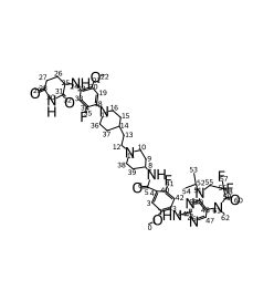 COc1cc(C(=O)NC2CCN(CCC3CCN(c4cc(OC)c(NC5CCC(=O)NC5=O)cc4F)CC3)CC2)c(F)cc1Nc1ncc2c(n1)N(C(C)C)CC(F)(F)C(=O)N2C